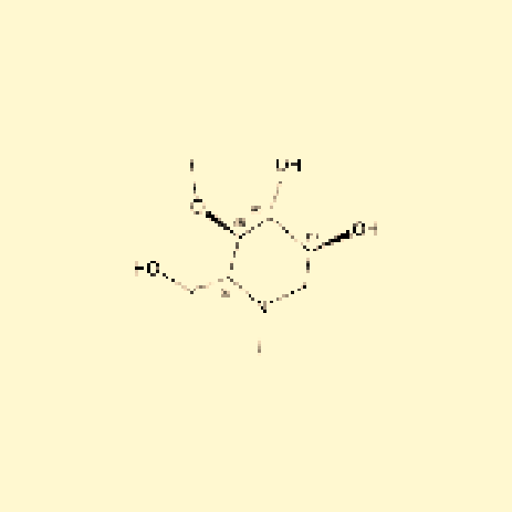 CO[C@H]1[C@H](O)[C@@H](O)CN(C)[C@@H]1CO